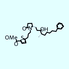 COC(=O)c1ccc(CCCN2C(=O)CC[C@@H]2CC[C@@H](O)[C@@H](C)CCCCCc2ccccc2)s1